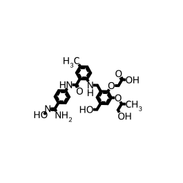 Cc1ccc(NCc2cc(CO)cc(OC(C)CO)c2OCC(=O)O)c(C(=O)Nc2ccc(/C(N)=N/O)cc2)c1